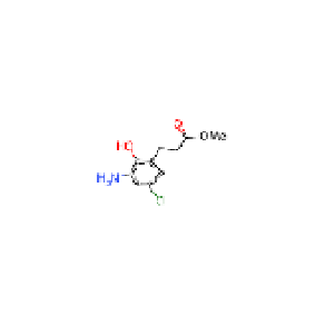 COC(=O)CCc1cc(Cl)cc(N)c1O